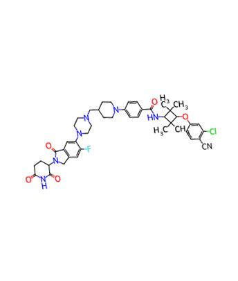 CC1(C)C(NC(=O)c2ccc(N3CCC(CN4CCN(c5cc6c(cc5F)CN(C5CCC(=O)NC5=O)C6=O)CC4)CC3)cc2)C(C)(C)C1Oc1ccc(C#N)c(Cl)c1